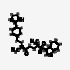 CN(CCc1ccc(C2=NCCN2)cc1)C(=O)CCN(C)S(=O)(=O)c1csc2ccccc12